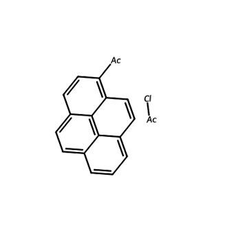 CC(=O)Cl.CC(=O)c1ccc2ccc3cccc4ccc1c2c34